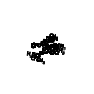 Cc1cccc(Cn2c(C(=O)O)cc3cc(OCc4ccccc4)cc(N4CC(C)n5c(c(CCCOc6cc(C)c(Cl)c(C)c6)c6ccc(Cl)c(-c7c(C)nn(C)c7C)c65)C4=O)c32)n1